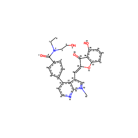 CCN(CCO)C(=O)c1ccc(-c2ccnc3c2c(C=C2Oc4cccc(O)c4C2=O)cn3C)cc1